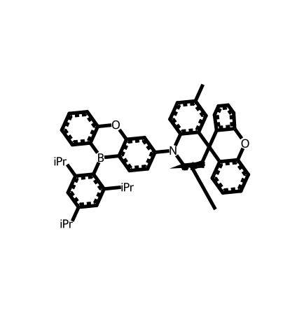 Cc1ccc2c(c1)C1(c3ccccc3Oc3ccccc31)c1cc(C)ccc1N2c1ccc2c(c1)Oc1ccccc1B2c1c(C(C)C)cc(C(C)C)cc1C(C)C